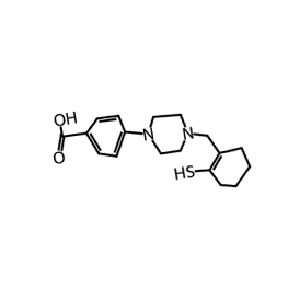 O=C(O)c1ccc(N2CCN(CC3=C(S)CCCC3)CC2)cc1